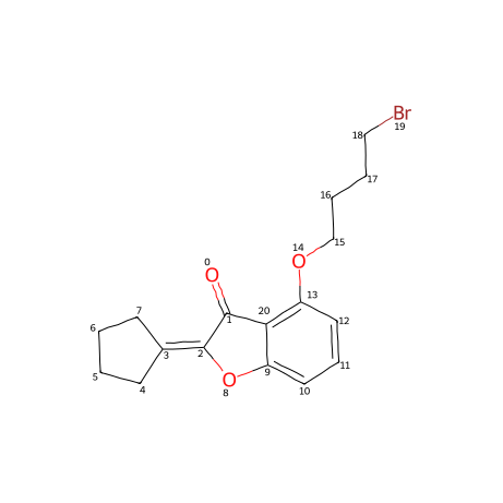 O=C1C(=C2CCCC2)Oc2cccc(OCCCCBr)c21